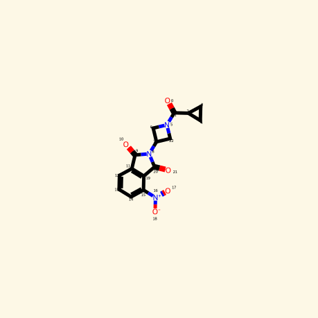 O=C(C1CC1)N1CC(N2C(=O)c3cccc([N+](=O)[O-])c3C2=O)C1